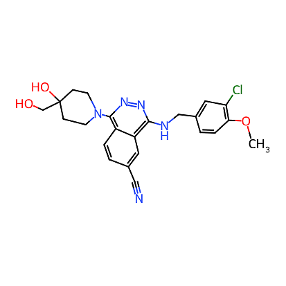 COc1ccc(CNc2nnc(N3CCC(O)(CO)CC3)c3ccc(C#N)cc23)cc1Cl